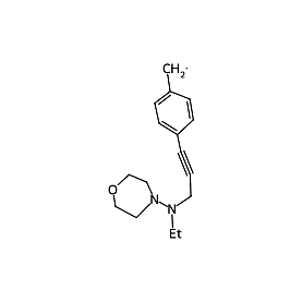 [CH2]c1ccc(C#CCN(CC)N2CCOCC2)cc1